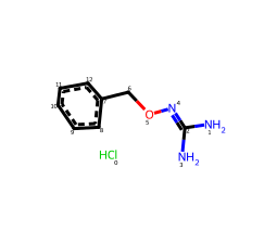 Cl.NC(N)=NOCc1ccccc1